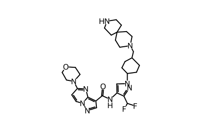 O=C(Nc1cn(C2CCC(CN3CCC4(CCNCC4)CC3)CC2)nc1C(F)F)c1cnn2ccc(N3CCOCC3)nc12